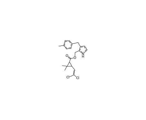 Cc1ccc(Cc2cc[nH]c2COC(=O)C2C(C=C(Cl)Cl)C2(C)C)cc1